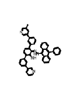 Cc1cncc(-c2cccc(C3=CC=C(c4cccc(-c5cccnc5)c4)C(=N)/C3=N\Nc3c4ccccc4c(-c4ccccc4)c4ccccc34)c2)c1